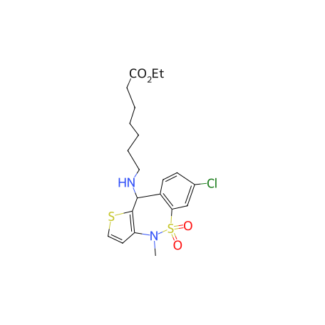 CCOC(=O)CCCCCCNC1c2ccc(Cl)cc2S(=O)(=O)N(C)c2ccsc21